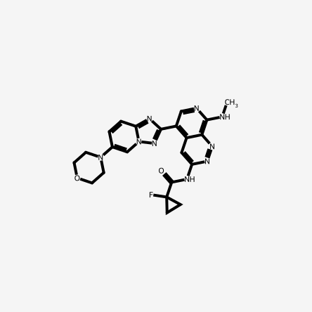 CNc1ncc(-c2nc3ccc(N4CCOCC4)cn3n2)c2cc(NC(=O)C3(F)CC3)nnc12